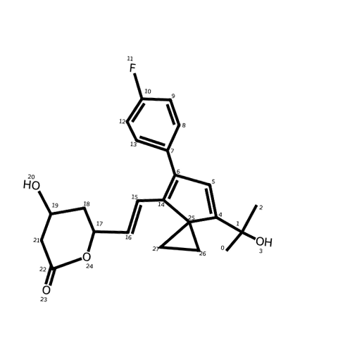 CC(C)(O)C1=CC(c2ccc(F)cc2)=C(C=CC2CC(O)CC(=O)O2)C12CC2